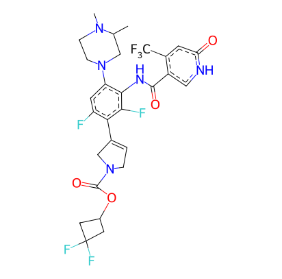 CC1CN(c2cc(F)c(C3=CCN(C(=O)OC4CC(F)(F)C4)C3)c(F)c2NC(=O)c2c[nH]c(=O)cc2C(F)(F)F)CCN1C